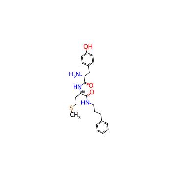 CSCC[C@@H](NC(=O)C(N)Cc1ccc(O)cc1)C(=O)NCCCc1ccccc1